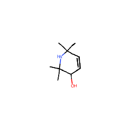 CC1(C)C=CC(O)C(C)(C)N1